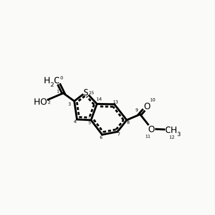 C=C(O)c1cc2ccc(C(=O)OC)cc2s1